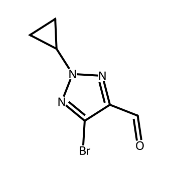 O=Cc1nn(C2CC2)nc1Br